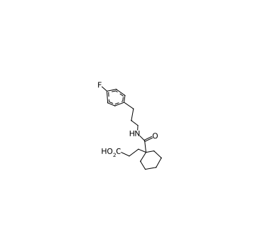 O=C(O)CCC1(C(=O)NCCCc2ccc(F)cc2)CCCCC1